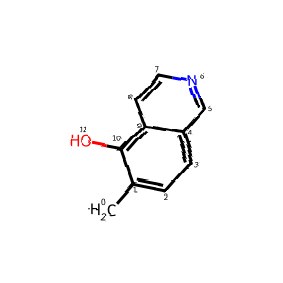 [CH2]c1ccc2cnccc2c1O